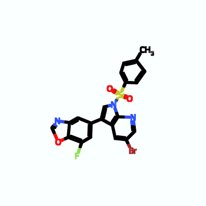 Cc1ccc(S(=O)(=O)n2cc(-c3cc(F)c4ocnc4c3)c3cc(Br)cnc32)cc1